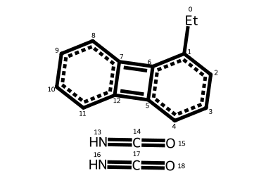 CCc1cccc2c1=c1ccccc1=2.N=C=O.N=C=O